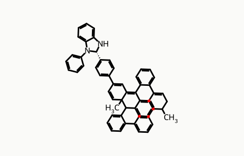 CC1C=CC(c2ccccc2C2=C3C=C(c4ccc([C@H]5Nc6ccccc6N5c5ccccc5)cc4)C=CC3(C)C(c3ccccc3-c3ccccc3)c3ccccc32)=CC1